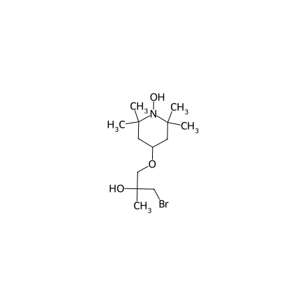 CC(O)(CBr)COC1CC(C)(C)N(O)C(C)(C)C1